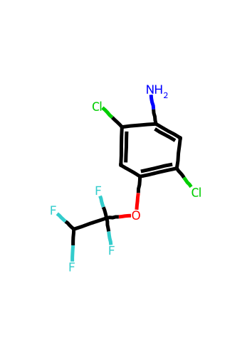 Nc1cc(Cl)c(OC(F)(F)C(F)F)cc1Cl